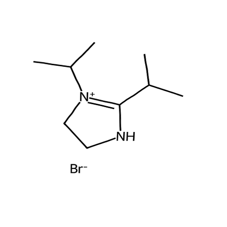 CC(C)C1=[N+](C(C)C)CCN1.[Br-]